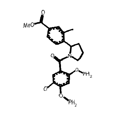 COC(=O)c1ccc(C2CCCN2C(=O)c2cc(Cl)c(OP)cc2OP)c(C)c1